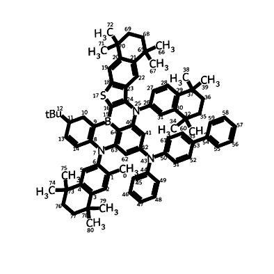 Cc1cc2c(cc1N1C3=C(CC(C(C)(C)C)C=C3)B3c4sc5cc6c(cc5c4N(c4ccc5c(c4)C(C)(C)CCC5(C)C)c4cc(N(c5ccccc5)c5ccc(-c7ccccc7)cc5)cc1c43)C(C)(C)CCC6(C)C)C(C)(C)CCC2(C)C